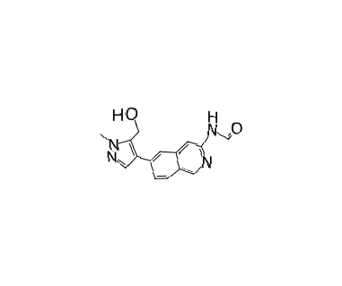 Cn1ncc(-c2ccc3cnc(NC=O)cc3c2)c1CO